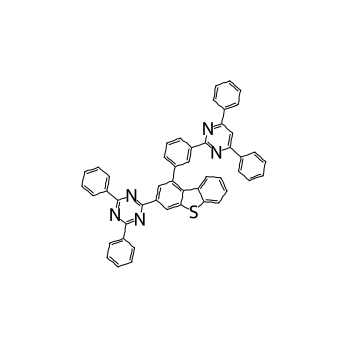 c1ccc(-c2cc(-c3ccccc3)nc(-c3cccc(-c4cc(-c5nc(-c6ccccc6)nc(-c6ccccc6)n5)cc5sc6ccccc6c45)c3)n2)cc1